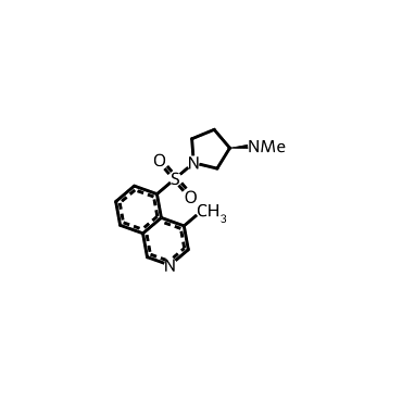 CN[C@@H]1CCN(S(=O)(=O)c2cccc3cncc(C)c23)C1